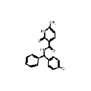 Cc1ccc(C(=O)NC(c2ccccc2)c2ccc(Cl)cc2)c(=O)[nH]1